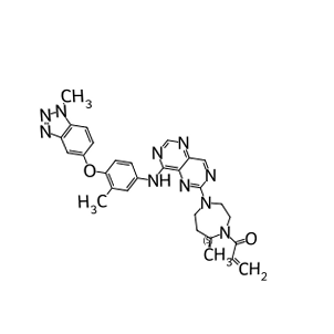 C=CC(=O)N1CCN(c2ncc3ncnc(Nc4ccc(Oc5ccc6c(c5)nnn6C)c(C)c4)c3n2)CC[C@@H]1C